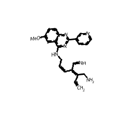 C=C/C(CN)=C(C=N)\C=C/CNc1nc(-c2cccnc2)nc2ccc(OC)cc12